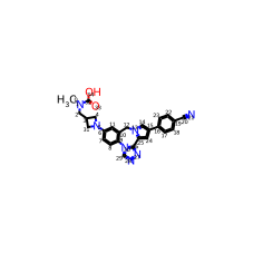 CN(CC1CN(c2ccc3c(c2)Cn2cc(-c4ccc(C#N)cc4)cc2-c2nncn2-3)C1)C(=O)O